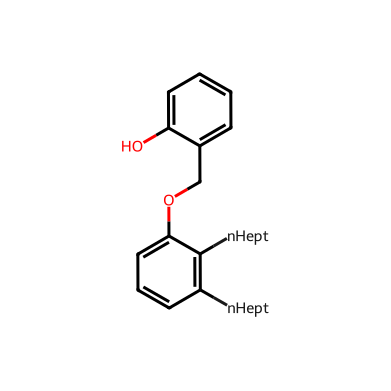 CCCCCCCc1cccc(OCc2ccccc2O)c1CCCCCCC